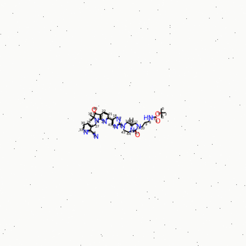 CC(C)(C)OC(=O)NCCCN1C[C@@H]2CN(c3ncc(-c4ccc5c(n4)N(Cc4cccnc4C#N)C(C)(C)C5=O)cn3)CCN2C1=O